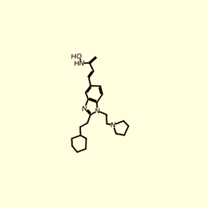 C=C(/C=C/c1ccc2c(c1)nc(CCC1CCCCC1)n2CCN1CCCC1)NO